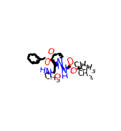 CNC(=O)c1c(OCc2ccccc2)c(=O)ccn1NC(=O)OC(C)(C)C